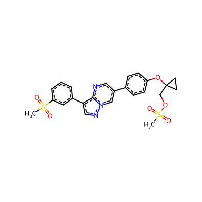 CS(=O)(=O)OCC1(Oc2ccc(-c3cnc4c(-c5cccc(S(C)(=O)=O)c5)cnn4c3)cc2)CC1